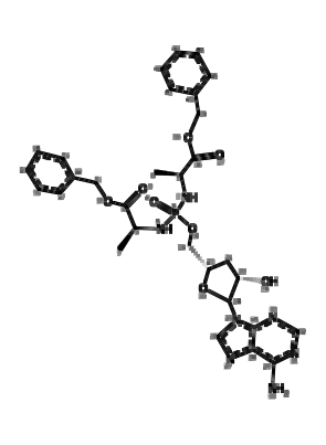 C[C@H](NP(=O)(N[C@@H](C)C(=O)OCc1ccccc1)OC[C@@H]1C[C@H](O)C(n2cnc3c(N)ncnc32)O1)C(=O)OCc1ccccc1